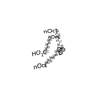 CCCCCCCCC=CCCCCCCCC(=O)OC(=O)CCCCCCCC=CCCCCCCCC.CCCCCCCCCCCCCCCCCC(=O)O